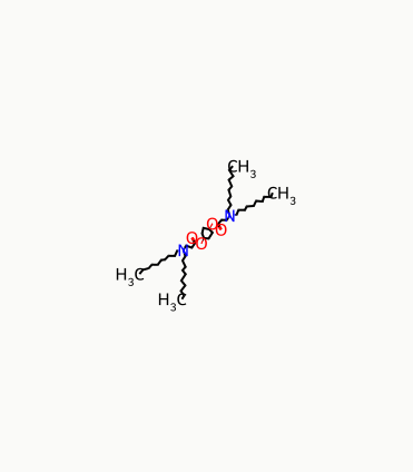 CCCCCCCCCCN(CCCCCCCCCC)CCC(=O)O[C@H]1CC[C@@H](OC(=O)CCN(CCCCCCCCCC)CCCCCCCCCC)CC1